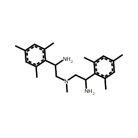 Cc1cc(C)c(C(N)CN(C)CC(N)c2c(C)cc(C)cc2C)c(C)c1